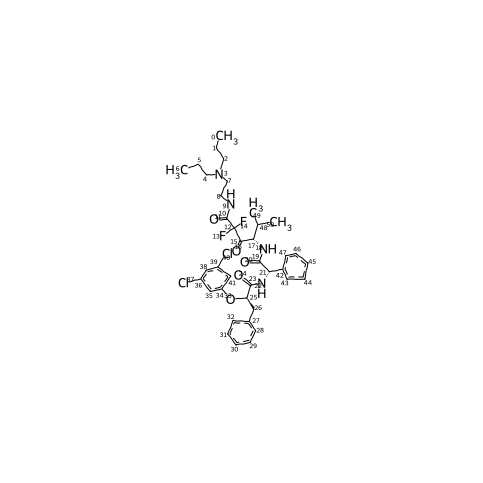 CCCN(CCC)CCNC(=O)C(F)(F)C(=O)[C@@H](NC(=O)[C@@H](NC(=O)[C@@H](Cc1ccccc1)Oc1cc(Cl)cc(Cl)c1)c1ccccc1)C(C)C